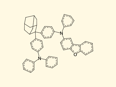 c1ccc(N(c2ccccc2)c2ccc(C3(c4ccc(N(c5ccccc5)c5ccc6oc7ccccc7c6c5)cc4)C4CC5CC(C4)CC3C5)cc2)cc1